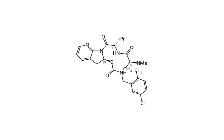 CN[C@@H](C)C(=O)N[C@H](C(=O)N1c2ncccc2C[C@@H]1OC(=O)NCc1cc(Cl)ccc1C)C(C)C